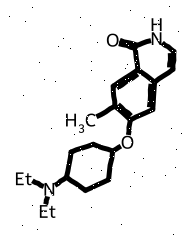 CCN(CC)C1CCC(Oc2cc3cc[nH]c(=O)c3cc2C)CC1